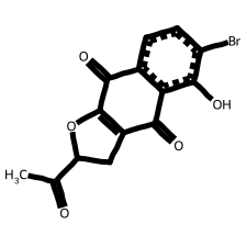 CC(=O)C1CC2=C(O1)C(=O)c1ccc(Br)c(O)c1C2=O